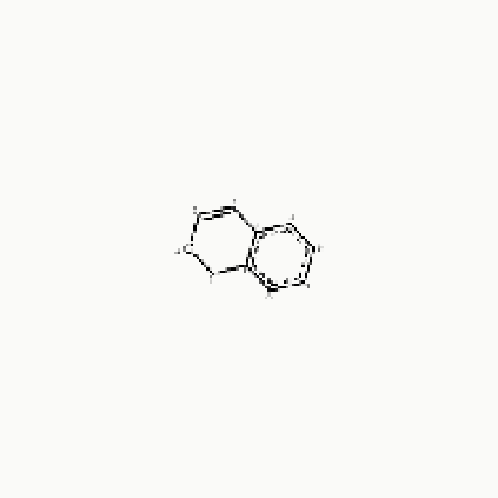 [CH]1OC=Cc2ccccc21